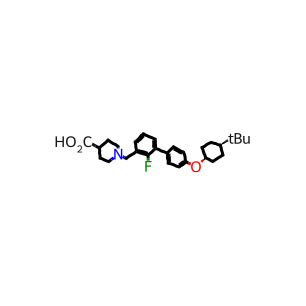 CC(C)(C)[C@H]1CC[C@@H](Oc2ccc(-c3cccc(CN4CCC(C(=O)O)CC4)c3F)cc2)CC1